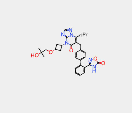 CCCc1c(Cc2ccc(-c3ccccc3-c3noc(=O)[nH]3)cc2)c(=O)n([C@H]2C[C@@H](OCC(C)(C)O)C2)c2ncnn12